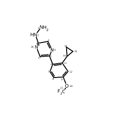 NNc1cnc(-c2ccc(OC(F)(F)F)cc2C2CC2)cn1